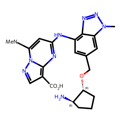 CNc1cc(Nc2cc(CO[C@@H]3CCC[C@H]3N)cc3c2nnn3C)nc2c(C(=O)O)cnn12